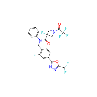 O=C(N1CC(F)(C(=O)N(Cc2ccc(-c3nnc(C(F)F)o3)cc2F)c2ccccc2)C1)C(F)(F)F